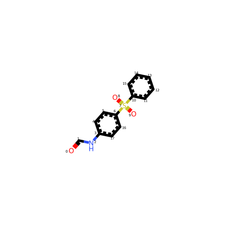 O=[C]Nc1ccc(S(=O)(=O)c2ccccc2)cc1